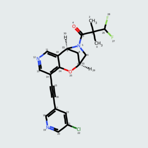 CC(C)(C(=O)N1C[C@@H]2C[C@H]1c1cncc(C#Cc3cncc(Cl)c3)c1O2)C(F)F